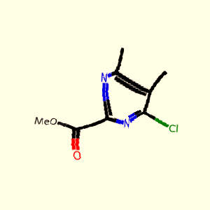 COC(=O)c1nc(C)c(C)c(Cl)n1